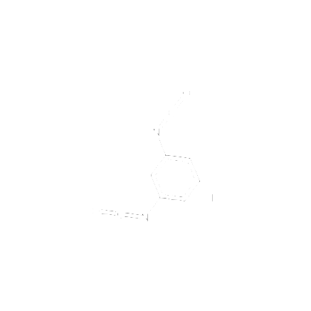 O=C=Nc1cccc(N=C=O)c1.[H+]